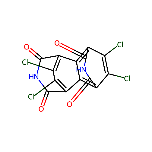 O=c1[nH]c(=O)c2c(Cl)c(Cl)c1c1c3c(Cl)c(Cl)c(c(=O)[nH]c3=O)c21